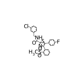 CS(=O)(=O)c1ccccc1-c1nc(C(=O)NCc2cccc(Cl)c2)sc1-c1ccc(F)cc1